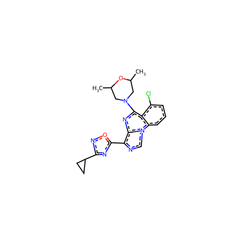 CC1CN(c2nc3c(-c4nc(C5CC5)no4)ncn3c3cccc(Cl)c23)CC(C)O1